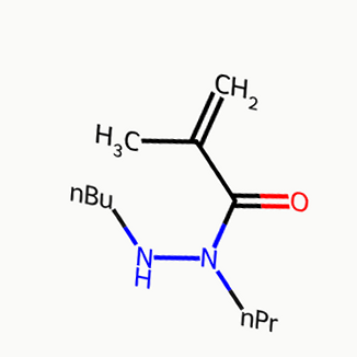 C=C(C)C(=O)N(CCC)NCCCC